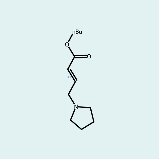 CCCCOC(=O)/C=C/CN1CCCC1